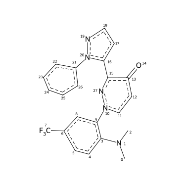 CN(C)c1ccc(C(F)(F)F)cc1-n1ccc(=O)c(-c2ccnn2-c2ccccc2)n1